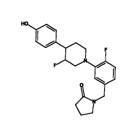 O=C1CCCN1Cc1ccc(F)c(N2CCC(c3ccc(O)cc3)C(F)C2)c1